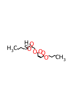 CCCCOC(=O)/C=C\C(=O)OCC(=O)O[SiH2]CCCC